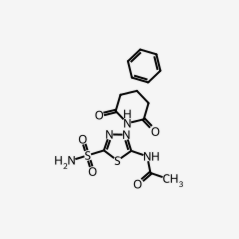 CC(=O)Nc1nnc(S(N)(=O)=O)s1.O=C1CCCC(=O)N1.c1ccccc1